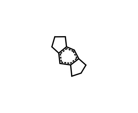 c1c2c(cc3c1CCC3)CCC2